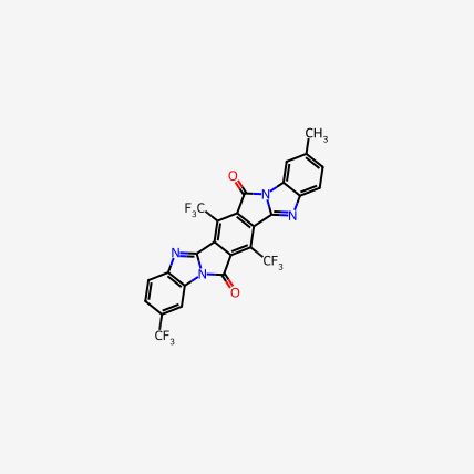 Cc1ccc2nc3c4c(C(F)(F)F)c5c(=O)n6c7cc(C(F)(F)F)ccc7nc6c5c(C(F)(F)F)c4c(=O)n3c2c1